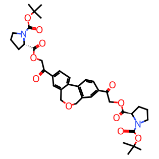 CC(C)(C)OC(=O)N1CCC[C@@H]1C(=O)OCC(=O)c1ccc2c(c1)COCc1cc(C(=O)COC(=O)[C@@H]3CCCN3C(=O)OC(C)(C)C)ccc1-2